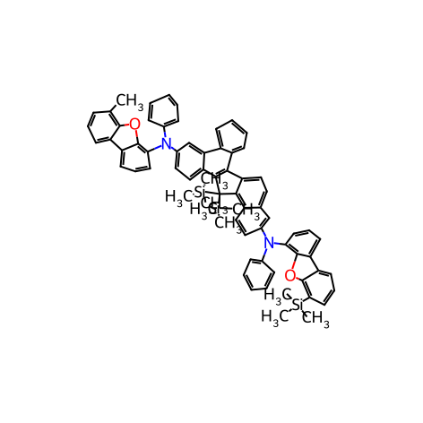 Cc1cccc2c1oc1c(N(c3ccccc3)c3ccc4c5c(c6ccccc6c4c3)-c3ccc4cc(N(c6ccccc6)c6cccc7c6oc6c([Si](C)(C)C)cccc67)ccc4c3C5([Si](C)(C)C)[Si](C)(C)C)cccc12